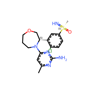 Cc1cc(N2CCCOC[C@@H]2c2cc([S@@](C)(=N)=O)ccc2Cl)nc(N)n1